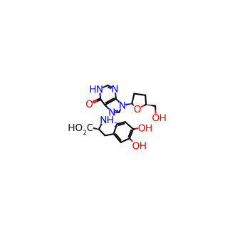 N[C@@H](Cc1ccc(O)c(O)c1)C(=O)O.O=c1[nH]cnc2c1ncn2[C@H]1CC[C@@H](CO)O1